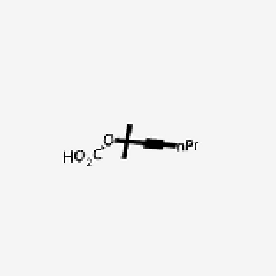 CCCC#CC(C)(C)OC(=O)O